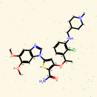 COc1cc2ncn(-c3cc(OC(C)c4cccc(NCC5CCN(C)CC5)c4Cl)c(C(N)=O)s3)c2cc1OC